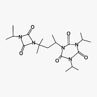 CC(C)N1C(=O)N(C(C)(C)CC(C)n2c(=O)n(C(C)C)c(=O)n(C(C)C)c2=O)C1=O